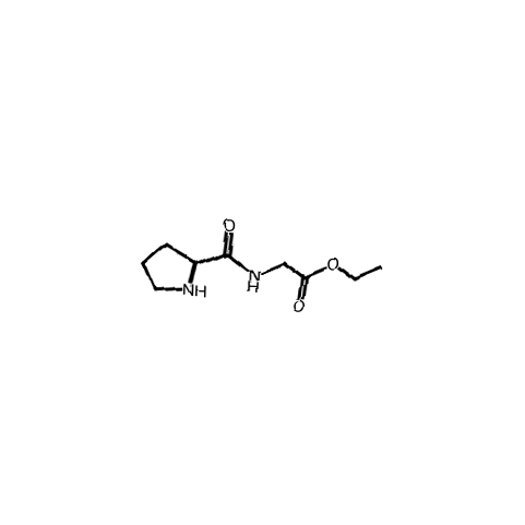 CCOC(=O)CNC(=O)C1CCCN1